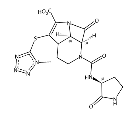 Cn1nnnc1SC1=C(C(=O)O)N2C(=O)[C@@H]3[C@H]2C1CCN3C(=O)N[C@H]1CCNC1=O